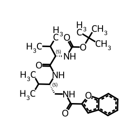 CC(C)[C@H](NC(=O)OC(C)(C)C)C(=O)N[C@H](CNC(=O)c1cc2ccccc2o1)C(C)C